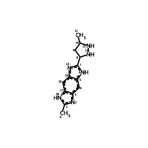 Cc1nc2cc3[nH]c(C4CC(C)NN4)nc3cc2[nH]1